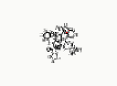 N[C@@H](Cc1c[nH]cn1)C(=O)N(C(=O)[C@H](Cc1ccccc1)NC(=O)C1CCCC1)[C@@H](CC1CCCCC1)[C@@H](O)c1ncc[nH]1